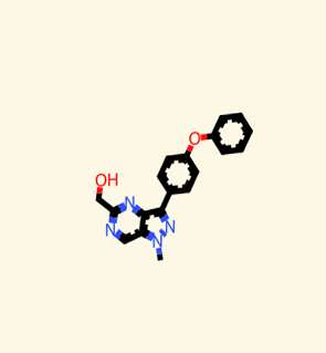 Cn1nc(-c2ccc(Oc3ccccc3)cc2)c2nc(CO)ncc21